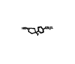 CCOC(=O)c1ccc(C2(F)CCN(O)CC2)cc1